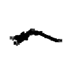 C#CCOCCOCCOCCOCCOCCCNc1ccc(COC(=O)N(C)CCOc2cc3c(cc2F)c(=O)c(CN(Cc2ccnc(C)c2)[C@H]2CCCN(c4ccc(C)nc4)C2)cn3C2CC2)cc1